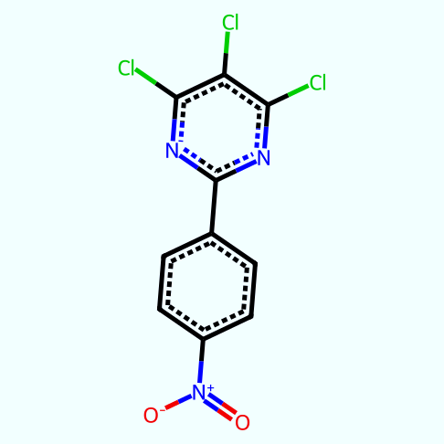 O=[N+]([O-])c1ccc(-c2nc(Cl)c(Cl)c(Cl)n2)cc1